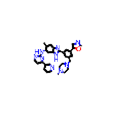 Cc1cc2nc(-c3cc(CN4CCN(C)CC4)cc(-c4cnco4)c3)[nH]c2cc1Nc1nccc(-c2cccnc2)n1